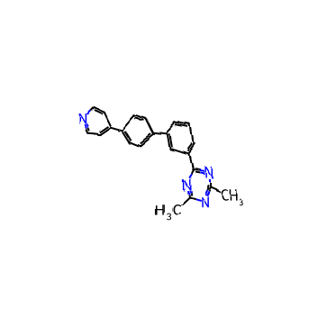 Cc1nc(C)nc(-c2cccc(-c3ccc(-c4ccncc4)cc3)c2)n1